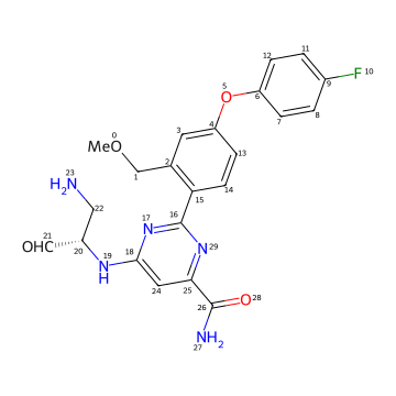 COCc1cc(Oc2ccc(F)cc2)ccc1-c1nc(N[C@H](C=O)CN)cc(C(N)=O)n1